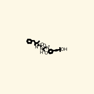 Cc1c(Cc2ccccc2)cnn1C(=O)NC1COc2ccc(C#CC(C)(C)O)cc2N(C)C1=O